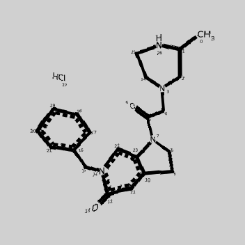 CC1CN(CC(=O)N2CCc3cc(=O)n(Cc4ccccc4)cc32)CCN1.Cl